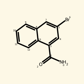 NC(=O)c1cc(Br)cc2ccccc12